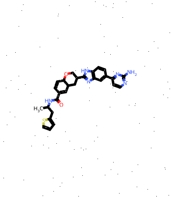 CC(Cc1cccs1)NC(=O)C1=CC2CC(c3nc4cc(-c5ccnc(N)n5)ccc4[nH]3)COC2C=C1